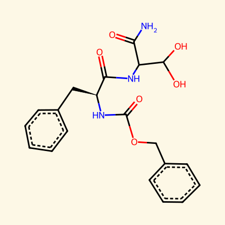 NC(=O)C(NC(=O)[C@H](Cc1ccccc1)NC(=O)OCc1ccccc1)C(O)O